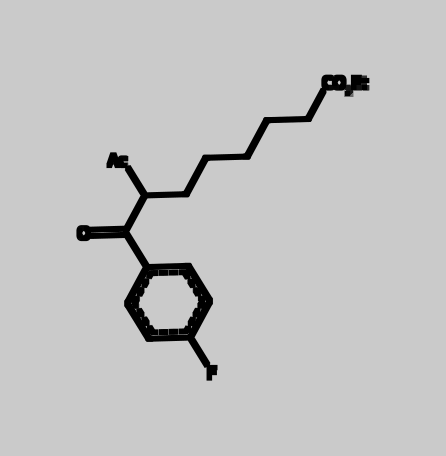 CCOC(=O)CCCCCC(C(C)=O)C(=O)c1ccc(F)cc1